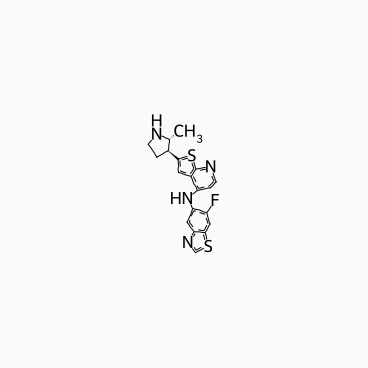 C[C@H]1NCC[C@@H]1c1cc2c(Nc3cc4ncsc4cc3F)ccnc2s1